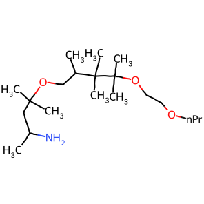 CCCOCCOC(C)(C)C(C)(C)C(C)COC(C)(C)CC(C)N